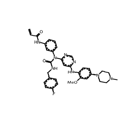 C=CC(=O)Nc1cccc(N(C(=O)NCc2ccc(F)cc2)c2cc(Nc3ccc(N4CCN(C)CC4)cc3OC)ncn2)c1